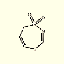 O=S1(=O)CC=CSC=N1